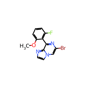 COc1cccc(F)c1-c1nc(Br)cn2ccnc12